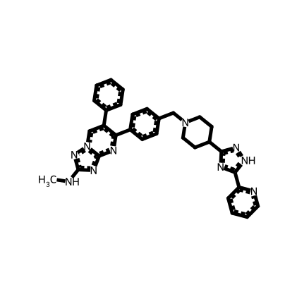 CNc1nc2nc(-c3ccc(CN4CCC(c5n[nH]c(-c6ccccn6)n5)CC4)cc3)c(-c3ccccc3)cn2n1